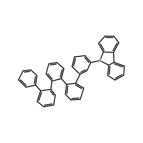 c1ccc(-c2ccccc2-c2ccccc2-c2ccccc2-c2cccc(-n3c4ccccc4c4ccccc43)c2)cc1